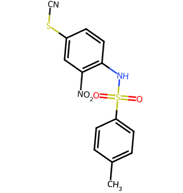 Cc1ccc(S(=O)(=O)Nc2ccc(SC#N)cc2[N+](=O)[O-])cc1